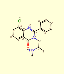 CNC(C)Cn1c(-c2ccccc2)nc2c(Cl)cccc2c1=O